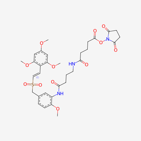 COc1cc(OC)c(/C=C/S(=O)(=O)Cc2ccc(OC)c(NC(=O)CCCNC(=O)CCCC(=O)ON3C(=O)CCC3=O)c2)c(OC)c1